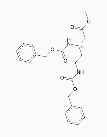 COC(=O)C[C@H](CCNC(=O)OCc1ccccc1)NC(=O)OCc1ccccc1